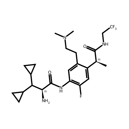 C[C@H](C(=O)NCC(F)(F)F)c1cc(F)c(NC(=O)[C@@H](N)C(C2CC2)C2CC2)cc1CCN(C)C